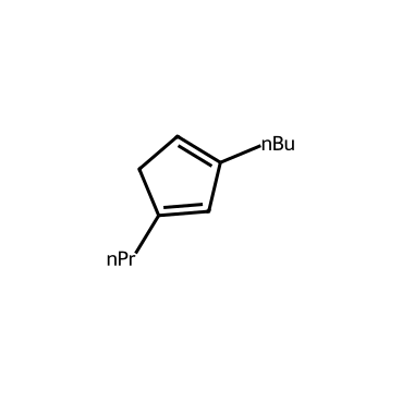 CCCCC1=CCC(CCC)=C1